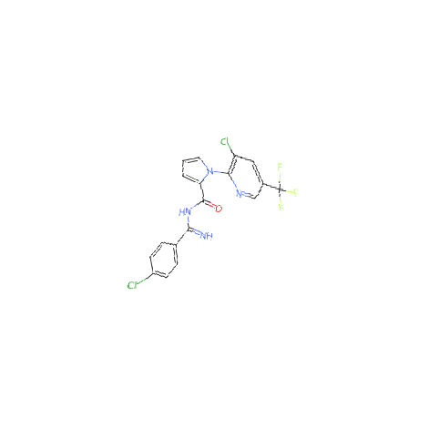 N=C(NC(=O)c1cccn1-c1ncc(C(F)(F)F)cc1Cl)c1ccc(Cl)cc1